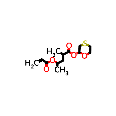 C=CC(=O)OC(C)CC(C)C(=O)OC1CSCCO1